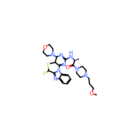 COCCCN1CCN(C(=O)[C@H](C)NC2=NC(N3CCOCC3)C(C)C(n3c(C(F)F)nc4ccccc43)=N2)CC1